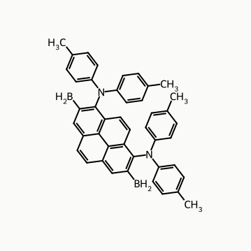 Bc1cc2ccc3cc(B)c(N(c4ccc(C)cc4)c4ccc(C)cc4)c4ccc(c1N(c1ccc(C)cc1)c1ccc(C)cc1)c2c34